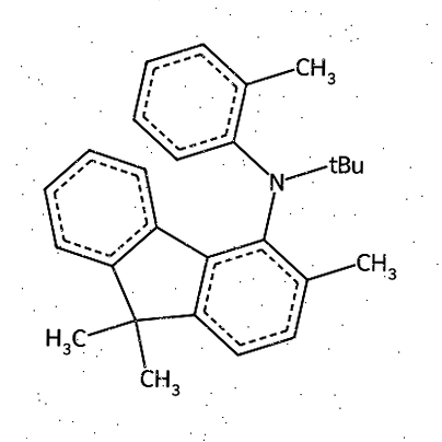 Cc1ccccc1N(c1c(C)ccc2c1-c1ccccc1C2(C)C)C(C)(C)C